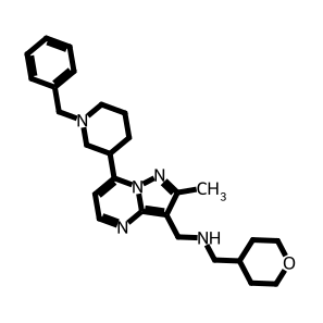 Cc1nn2c(C3CCCN(Cc4ccccc4)C3)ccnc2c1CNCC1CCOCC1